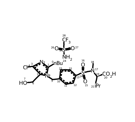 CCCCc1nc(Cl)c(CO)n1Cc1ccc(S(=O)(=O)N(C)[C@@H](C(=O)O)C(C)C)cc1.NS(=O)(=O)C(F)(F)F